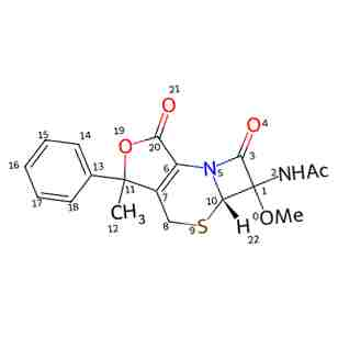 COC1(NC(C)=O)C(=O)N2C3=C(CS[C@H]21)C(C)(c1ccccc1)OC3=O